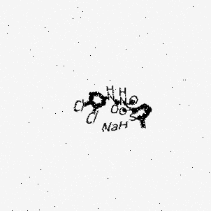 Cc1ccc(S(=O)(=O)NC(=O)Nc2ccc(Cl)c(Cl)c2)s1.[NaH]